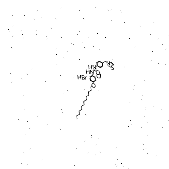 Br.CCCCCCCCCCCCCCOc1ccc(NC(=O)Nc2ccc(CN3C=CSC3)cc2)c(Cl)c1